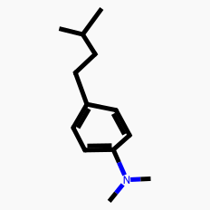 CC(C)CCc1ccc(N(C)C)cc1